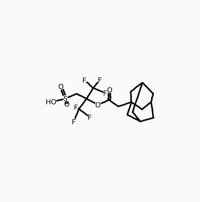 O=C(CC12CC3CC(CC(C3)C1)C2)OC(CS(=O)(=O)O)(C(F)(F)F)C(F)(F)F